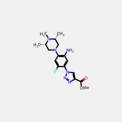 COC(=O)c1cn(-c2cc(N)c(N3C[C@@H](C)N(C)[C@@H](C)C3)cc2F)nn1